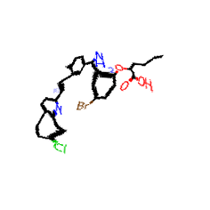 CCCCC(Oc1ccc(Br)cc1C(N)c1cccc(/C=C/c2ccc3ccc(Cl)cc3n2)c1)C(=O)O